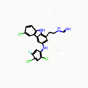 N=CNCCc1cc(Nc2cc(F)c(Cl)cc2Cl)cc2c1[nH]c1ccc(Cl)cc12